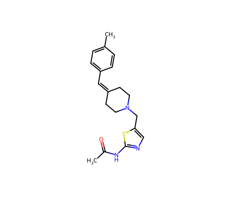 CC(=O)Nc1ncc(CN2CCC(=Cc3ccc(C)cc3)CC2)s1